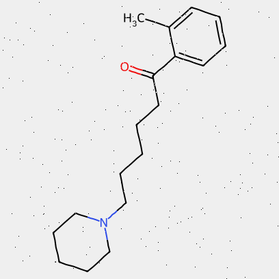 Cc1ccccc1C(=O)CCCCCN1CC[CH]CC1